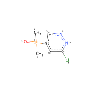 CP(C)(=O)c1cnnc(Cl)c1